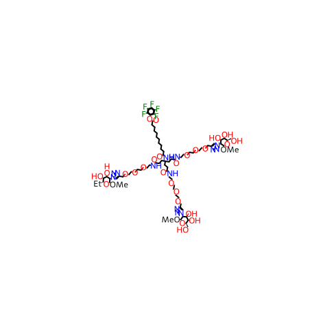 CC[C@H]1O[C@@H](OC)[C@H](n2cc(COCCOCCOCCNC(=O)CCC(CCC(=O)NCCOCCOCCOCc3cn([C@H]4[C@H](OC)O[C@H](CO)[C@H](O)[C@@H]4O)nn3)(CCC(=O)NCCOCCOCCOCc3cn([C@H]4[C@H](OC)O[C@H](CO)[C@H](O)[C@@H]4O)nn3)NC(=O)CCCCCCCCCCC(=O)Oc3c(F)c(F)c(F)c(F)c3F)nn2)[C@@H](O)[C@H]1O